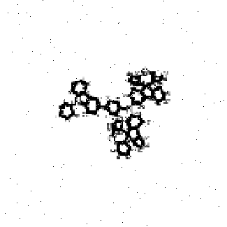 c1ccc(-n2c3ccccc3c3cc(-c4ccc(N(c5ccc6c(c5)-c5ccccc5C65c6ccccc6Oc6ccccc65)c5ccc6c(c5)C5(c7ccccc7Oc7ccccc75)c5ccccc5-6)cc4)ccc32)cc1